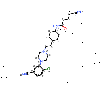 N#CCCCC(=O)NC1CCC(CCN2CCN(c3cc(C#N)ccc3Cl)CC2)CC1